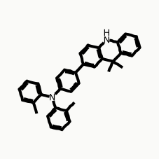 Cc1ccccc1N(c1ccc(-c2ccc3c(c2)C(C)(C)c2ccccc2N3)cc1)c1ccccc1C